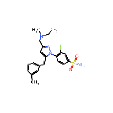 Cc1cccc(Cc2cc(CN(C)CC(F)(F)F)nn2-c2ccc(S(N)(=O)=O)cc2F)c1